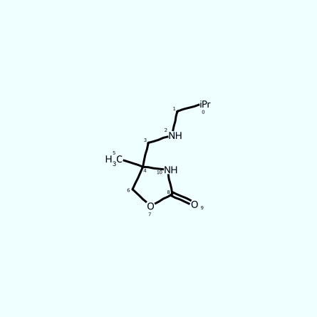 CC(C)CNCC1(C)COC(=O)N1